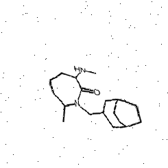 CNC1CCCC(C)N(CC2CC3CCC(C3)C2)C1=O